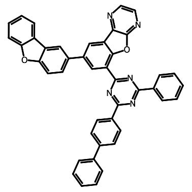 c1ccc(-c2ccc(-c3nc(-c4ccccc4)nc(-c4cc(-c5ccc6oc7ccccc7c6c5)cc5c4oc4nccnc45)n3)cc2)cc1